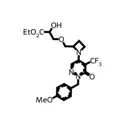 CCOC(=O)C(O)COCC1CCN1c1cnn(Cc2ccc(OC)cc2)c(=O)c1C(F)(F)F